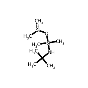 C[SiH](C)O[Si](C)(C)NC(C)(C)C